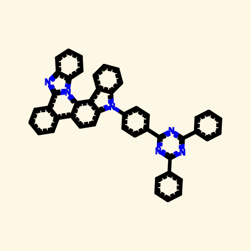 c1ccc(-c2nc(-c3ccccc3)nc(-c3ccc(-n4c5ccccc5c5c4ccc4c6ccccc6c6nc7ccccc7n6c45)cc3)n2)cc1